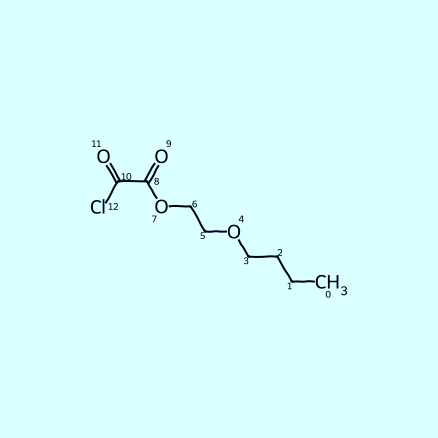 CCCCOCCOC(=O)C(=O)Cl